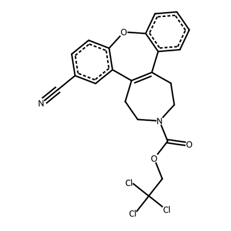 N#Cc1ccc2c(c1)C1=C(CCN(C(=O)OCC(Cl)(Cl)Cl)CC1)c1ccccc1O2